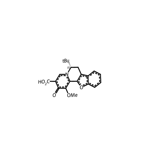 COc1c2n(cc(C(=O)O)c1=O)[C@H](C(C)(C)C)Cc1c-2oc2ccccc12